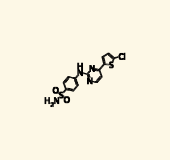 NS(=O)(=O)c1ccc(Nc2nccc(-c3ccc(Cl)s3)n2)cc1